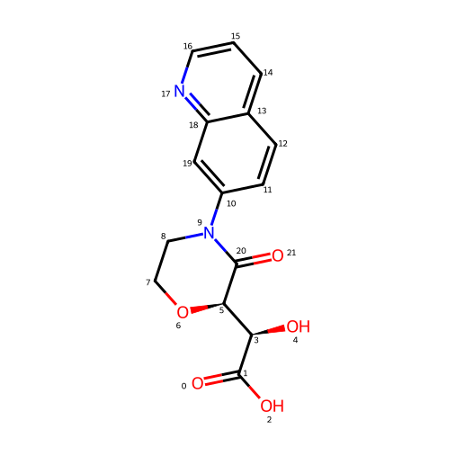 O=C(O)[C@H](O)[C@H]1OCCN(c2ccc3cccnc3c2)C1=O